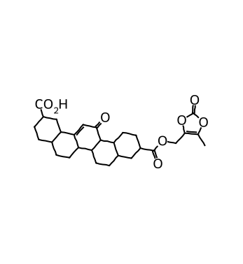 Cc1oc(=O)oc1COC(=O)C1CCC2C(CCC3C4CCC5CCC(C(=O)O)CC5C4=CC(=O)C23)C1